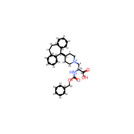 O=C(N[C@@H](CN1CCC(=C2c3ccccc3CCc3ccccc32)CC1)C(=O)O)OCc1ccccc1